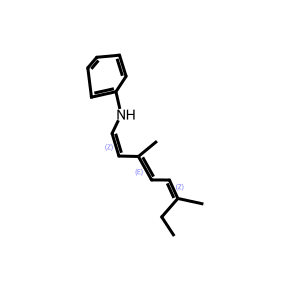 CC\C(C)=C/C=C(C)/C=C\Nc1ccccc1